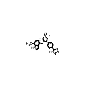 Cc1cc(C)c2[nH]ccc2c1C[C@@H]1CN(C)C[C@H]1c1ccc(-c2nnn[nH]2)cc1